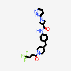 O=C(Nc1ccc(CC2CCN(C(=O)CCC(F)(F)F)CC2)cc1)C1CN(c2cccnn2)C1